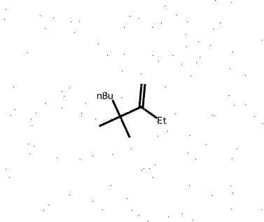 C=C(CC)C(C)(C)CCCC